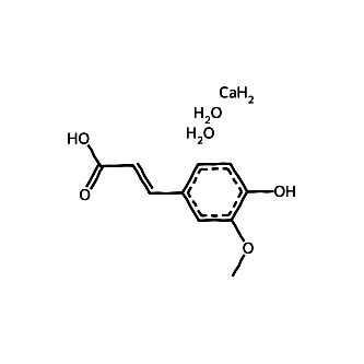 COc1cc(C=CC(=O)O)ccc1O.O.O.[CaH2]